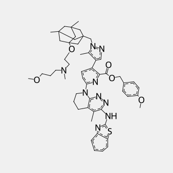 COCCCN(C)CCOC12CC3(C)CC(C)(CC(Cn4ncc(-c5ccc(N6CCCc7c6nnc(Nc6nc8ccccc8s6)c7C)nc5C(=O)OCc5ccc(OC)cc5)c4C)(C3)C1)C2